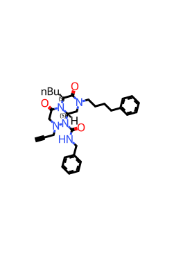 C#CCN1CC(=O)N2[C@@H](CCCC)C(=O)N(CCCCc3ccccc3)C[C@@H]2N1C(=O)NCc1ccccc1